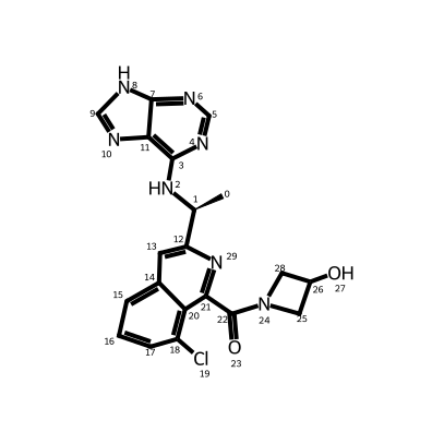 C[C@H](Nc1ncnc2[nH]cnc12)c1cc2cccc(Cl)c2c(C(=O)N2CC(O)C2)n1